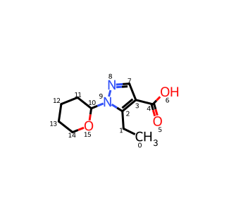 CCc1c(C(=O)O)cnn1C1CCCCO1